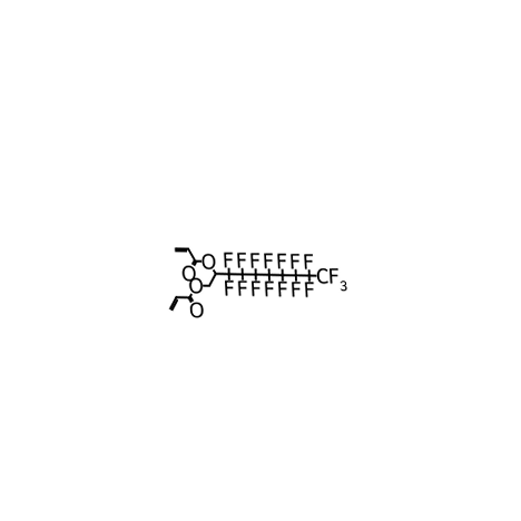 C=CC(=O)OCC(OC(=O)C=C)C(F)(F)C(F)(F)C(F)(F)C(F)(F)C(F)(F)C(F)(F)C(F)(F)C(F)(F)F